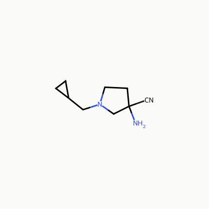 N#CC1(N)CCN(CC2CC2)C1